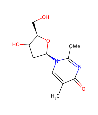 COc1nc(=O)c(C)cn1[C@H]1CC(O)[C@@H](CO)O1